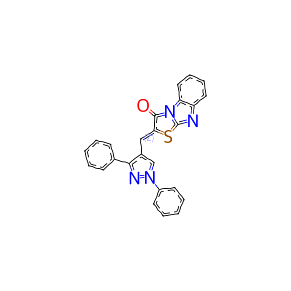 O=c1/c(=C/c2cn(-c3ccccc3)nc2-c2ccccc2)sc2nc3ccccc3n12